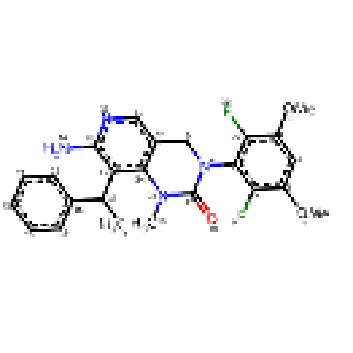 COc1cc(OC)c(F)c(N2Cc3cnc(N)c(C(C)c4ccccc4)c3N(C)C2=O)c1F